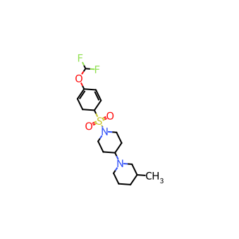 CC1CCCN(C2CCN(S(=O)(=O)C3C=CC(OC(F)F)=CC3)CC2)C1